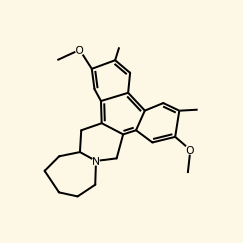 COc1cc2c3c(c4cc(OC)c(C)cc4c2cc1C)CN1CCCCCC1C3